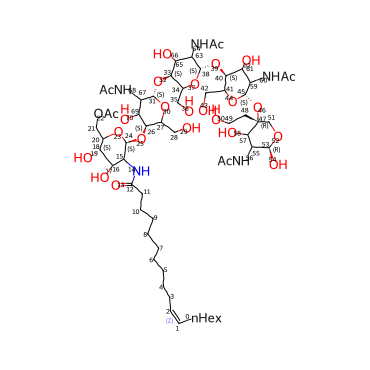 CCCCCC/C=C\CCCCCCCCCC(=O)NC1C(O)[C@H](O)C(COC(C)=O)O[C@H]1O[C@@H]1C(CO)O[C@@H](O[C@@H]2C(CO)O[C@@H](O[C@@H]3C(CO)O[C@@H](O[C@]4(CCO)CO[C@@H](O)C(NC(C)=O)C4O)C(NC(C)=O)C3O)C(NC(C)=O)C2O)C(NC(C)=O)C1O